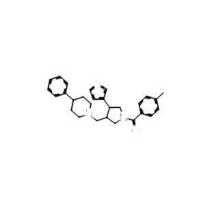 Cc1ccc(C(=O)N2CC(CN3CCC(c4ccccc4)CC3)C(c3ccsc3)C2)cc1